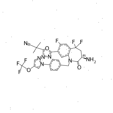 CC(C)(C#N)c1nnc(-c2cc3c(cc2F)C(F)(F)C[C@@H](N)C(=O)N3Cc2ccc(-n3cc(OC(F)(F)F)cn3)cc2)o1